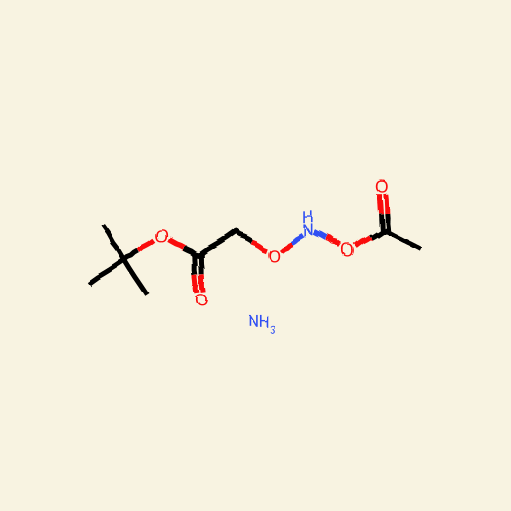 CC(=O)ONOCC(=O)OC(C)(C)C.N